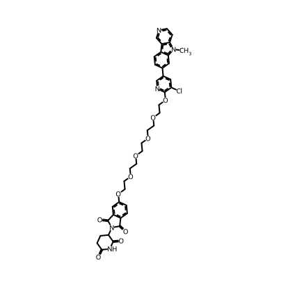 Cn1c2ccncc2c2ccc(-c3cnc(OCCOCCOCCOCCOCCOc4ccc5c(c4)C(=O)N(C4CCC(=O)NC4=O)C5=O)c(Cl)c3)cc21